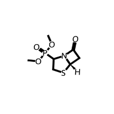 COP(=O)(OC)C1CS[C@H]2CC(=O)N12